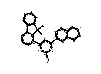 CC1(C)c2ccccc2-c2cccc(-c3nc(Cl)nc(-c4ccc5ccccc5c4)n3)c21